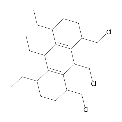 CCC1CCC(CCl)C2=C1C(CC)C1=C(C(CCl)CCC1CC)C2CCl